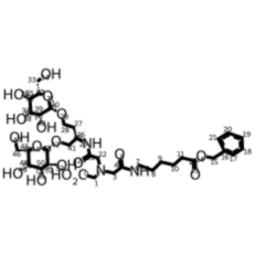 O=C(O)CN(CC(=O)NCCCCCC(=O)OCc1ccccc1)CC(=O)N[C@H](CCO[C@@H]1O[C@@H](CO)[C@H](O)[C@@H](O)[C@H]1O)CO[C@H]1O[C@H](CO)[C@@H](O)[C@H](O)[C@@H]1O